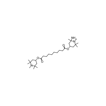 CN1C(C)(C)CC(OC(=O)CCCCCCCCC(=O)OC2CC(C)(C)N(C)C(C)(N)C2)CC1(C)C